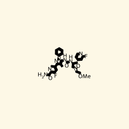 COCCN1C[C@@H](NC(=O)Nc2c(C)c(-c3cnc(C(N)=O)c(F)c3)nn2-c2ccccc2)[C@H](c2ccnc(F)c2)O1